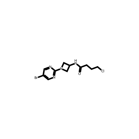 O=C(CCCCl)NC1CN(c2ncc(Br)cn2)C1